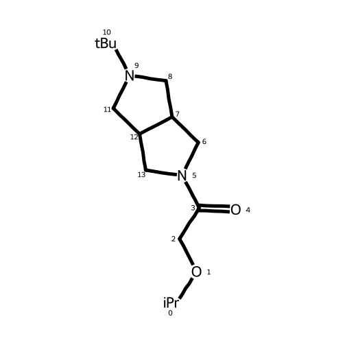 CC(C)OCC(=O)N1CC2CN(C(C)(C)C)CC2C1